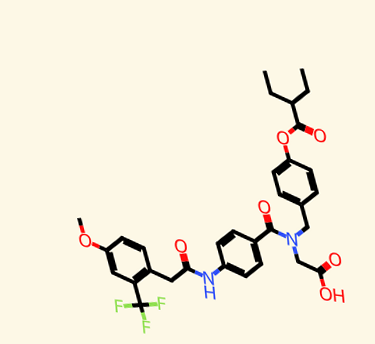 CCC(CC)C(=O)Oc1ccc(CN(CC(=O)O)C(=O)c2ccc(NC(=O)Cc3ccc(OC)cc3C(F)(F)F)cc2)cc1